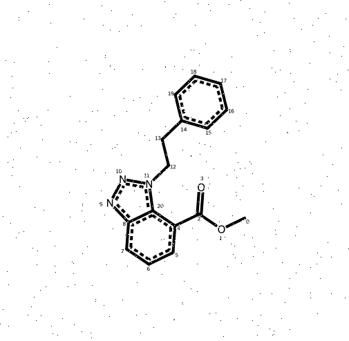 COC(=O)c1cccc2nnn(CCc3ccccc3)c12